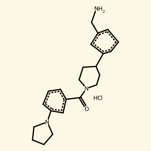 Cl.NCc1cccc(C2CCN(C(=O)c3cccc(N4CCCC4)c3)CC2)c1